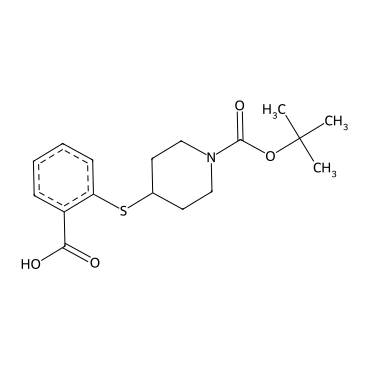 CC(C)(C)OC(=O)N1CCC(Sc2ccccc2C(=O)O)CC1